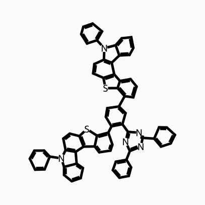 c1ccc(-c2nc(-c3ccccc3)nc(-c3cc(-c4cccc5c4sc4ccc6c(c7ccccc7n6-c6ccccc6)c45)ccc3-c3cccc4c3sc3ccc5c(c6ccccc6n5-c5ccccc5)c34)n2)cc1